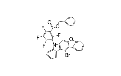 O=C(OCc1ccccc1)c1c(F)c(F)c(F)c(-n2c3ccccc3c3c(Br)c4c(cc32)oc2ccccc24)c1F